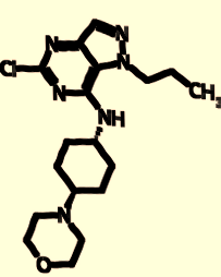 CCCn1ncc2nc(Cl)nc(N[C@H]3CC[C@H](N4CCOCC4)CC3)c21